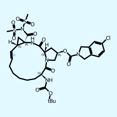 CC(C)(C)OC(=O)N[C@H]1CCCCC/C=C/[C@@H]2C[C@@]2(C(=O)N(S(C)(=O)=O)S(C)(=O)=O)NC(=O)[C@@H]2C[C@@H](OC(=O)N3Cc4ccc(Cl)cc4C3)CN2C1=O